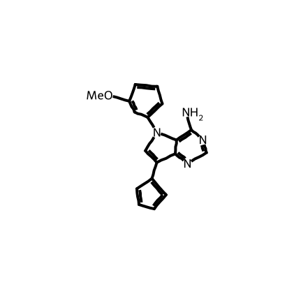 COc1cccc(-n2cc(C3=C=CC=C3)c3ncnc(N)c32)c1